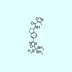 BC(B)(B)c1nc(-c2ccc3c(c2)CC[C@H]3NC(=O)c2ocnc2C)no1